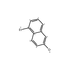 CCc1cccc2cc([O])ccc12